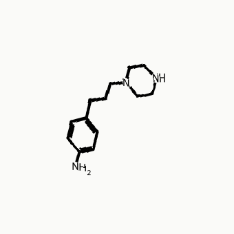 Nc1ccc(CCCN2CCNCC2)cc1